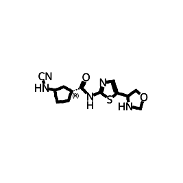 N#CNC1CC[C@@H](C(=O)Nc2ncc(C3COCN3)s2)C1